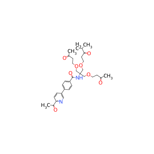 CC(=O)CCOCC(COCCC(C)=O)(COCCC(=O)C(C)C)NC(=O)c1ccc(-c2ccc(C(C)=O)nc2)cc1